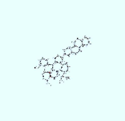 CC1C=CC(c2c(N(c3ccc(-c4ccc5c(ccc6c7ccccc7ccc56)c4)cc3)c3cccc4c3-c3ccccc3C4(C)C)cccc2C(C)(C)C)=CC1